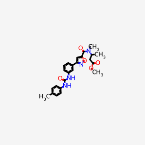 COC(=O)CC(C)N(C)C(=O)c1cc(-c2cccc(NC(=O)Nc3ccc(C)cc3)c2)no1